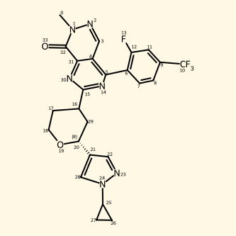 Cn1ncc2c(-c3ccc(C(F)(F)F)cc3F)nc(C3CCO[C@@H](c4cnn(C5CC5)c4)C3)nc2c1=O